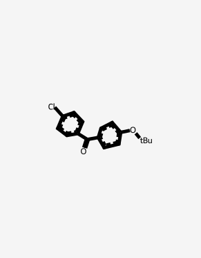 CC(C)(C)Oc1ccc(C(=O)c2ccc(Cl)cc2)cc1